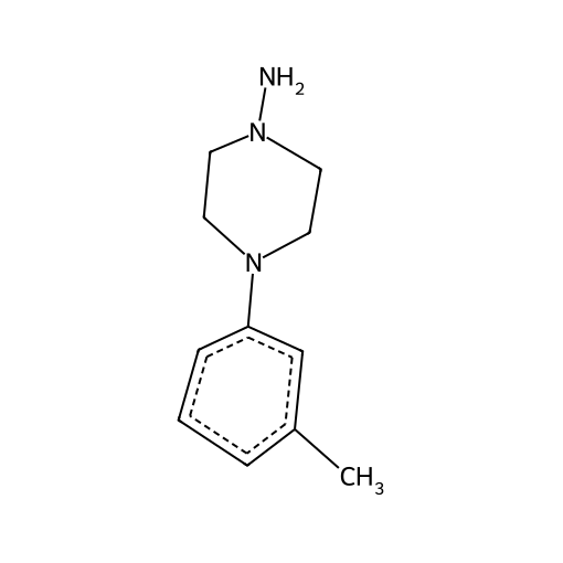 Cc1cccc(N2CCN(N)CC2)c1